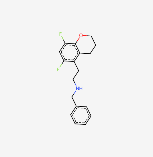 Fc1cc(F)c2c(c1CCNCc1ccccc1)CCCO2